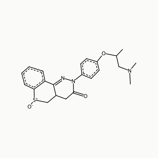 CC(CN(C)C)Oc1ccc(N2N=C3c4ccccc4[S+]([O-])CC3CC2=O)cc1